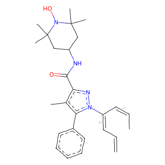 C=C/C=C(\C=C/C)n1nc(C(=O)NC2CC(C)(C)N(O)C(C)(C)C2)c(C)c1-c1ccccc1